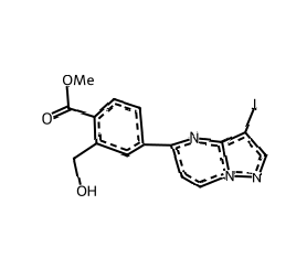 COC(=O)c1ccc(-c2ccn3ncc(I)c3n2)cc1CO